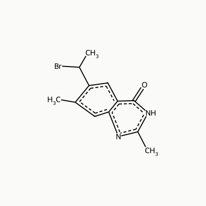 Cc1nc2cc(C)c(C(C)Br)cc2c(=O)[nH]1